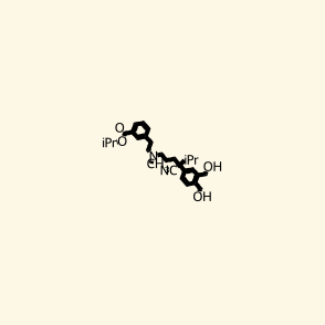 CC(C)OC(=O)c1cccc(CCN(C)CCCC(C#N)(c2ccc(CO)c(CO)c2)C(C)C)c1